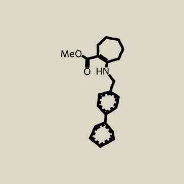 COC(=O)C1=C(NCc2ccc(-c3ccccc3)cc2)CCCCC1